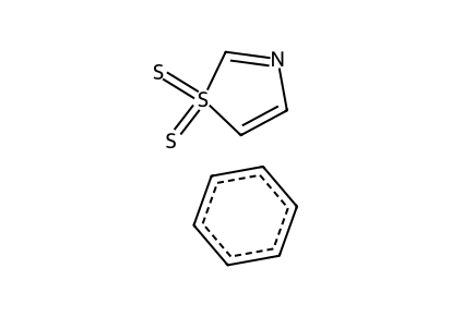 S=S1(=S)C=CN=C1.c1ccccc1